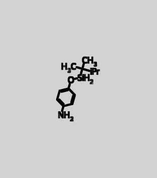 CC(C)C(C)(C)[SiH2]Oc1ccc(N)cc1